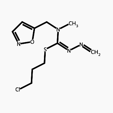 C=N/N=C(/SCCCCl)N(C)Cc1ccno1